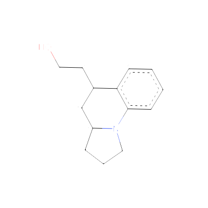 OCCC1CC2CCCN2c2ccccc21